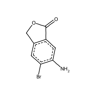 Nc1cc2c(cc1Br)COC2=O